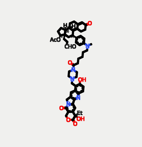 CC[C@@]1(O)C(=O)OCc2c1cc1n(c2=O)Cc2cc3c(CN4CCN(C(=O)CCCCCN(C)c5ccc([C@H]6C[C@]7(CCC=O)[C@H](OC(C)=O)CC[C@H]7[C@@H]7CCC8=CC(=O)CCC8=C76)cc5)CC4)c(O)ccc3nc2-1